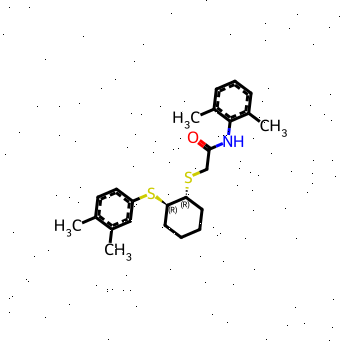 Cc1ccc(S[C@@H]2CCCC[C@H]2SCC(=O)Nc2c(C)cccc2C)cc1C